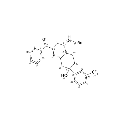 CCCCNC(CC(F)C(=O)c1ccccc1)N1CCC(O)(c2cccc(C(F)(F)F)c2)CC1